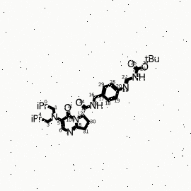 CC(C)CN(CC(C)C)c1cnc2n(c1=O)[C@H](C(=O)NCc1ccc(/N=C/NC(=O)OC(C)(C)C)cc1)CC2